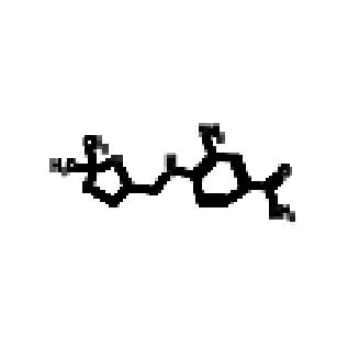 CC1(C)OCC(CNc2ccc(C(N)=O)cc2N)O1